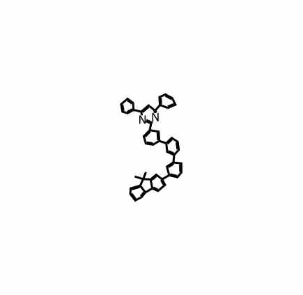 CC1(C)c2ccccc2-c2ccc(-c3cccc(-c4cccc(-c5cccc(-c6nc(-c7ccccc7)cc(-c7ccccc7)n6)c5)c4)c3)cc21